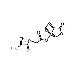 C=C(C)C(=O)OCC(=O)Oc1c2c3oc1cc3C(=O)O2